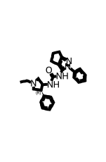 CCN1CC(NC(=O)Nc2c3c(nn2-c2ccccc2)CCC3)[C@H](c2ccccc2)C1